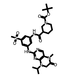 CC(C)N1CC(=O)N(C)c2cnc(Nc3cc(NC(=O)C4CCCN(C(=O)OC(C)(C)C)C4)cc(S(C)(=O)=O)c3)nc21